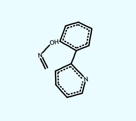 C=NO.c1ccc(-c2ccccn2)cc1